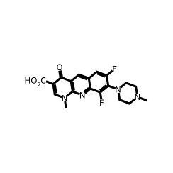 CN1CCN(c2c(F)cc3cc4c(=O)c(C(=O)O)cn(C)c4nc3c2F)CC1